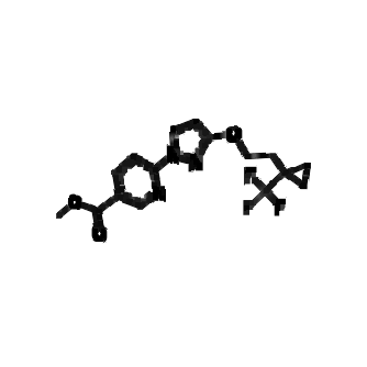 COC(=O)c1ccc(-n2ccc(OCCC3(C(F)(F)F)CC3)n2)nc1